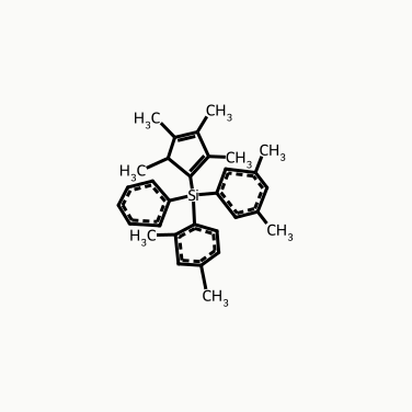 CC1=C(C)C(C)C([Si](c2ccccc2)(c2cc(C)cc(C)c2)c2ccc(C)cc2C)=C1C